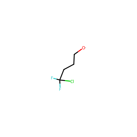 [O]CCCC(F)(F)Cl